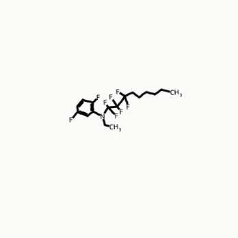 CCCCCCC(F)(F)C(F)(F)C(F)(F)N(CC)c1cc(F)ccc1F